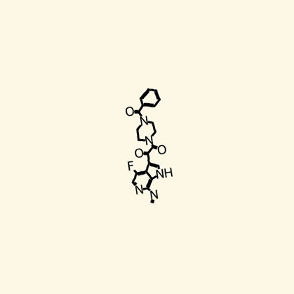 C=Nc1ncc(F)c2c(C(=O)C(=O)N3CCN(C(=O)c4ccccc4)CC3)c[nH]c12